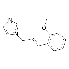 COc1ccccc1C=CCn1ccnc1